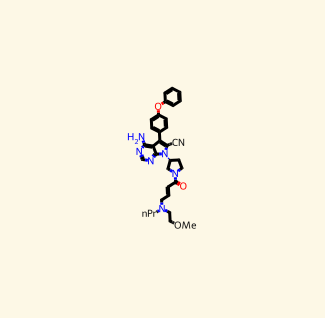 CCCN(C/C=C/C(=O)N1CC[C@@H](n2c(C#N)c(-c3ccc(Oc4ccccc4)cc3)c3c(N)ncnc32)C1)CCOC